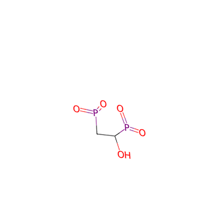 O=P(=O)CC(O)P(=O)=O